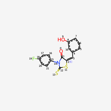 O=C1/C(=C\c2cccc(O)c2)SC(=S)N1c1ccc(F)cc1